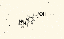 OCCCc1ccc(Cn2ccnc2)cc1